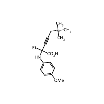 CCC(C#CC[Si](C)(C)C)(Nc1ccc(OC)cc1)C(=O)O